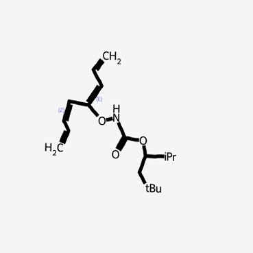 C=C/C=C\C(=C/C=C)ONC(=O)OC(CC(C)(C)C)C(C)C